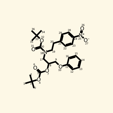 CC(C)(C)OC(=O)OC(COc1ccccc1)CN(CCc1ccc([N+](=O)[O-])cc1)C(=O)OC(C)(C)C